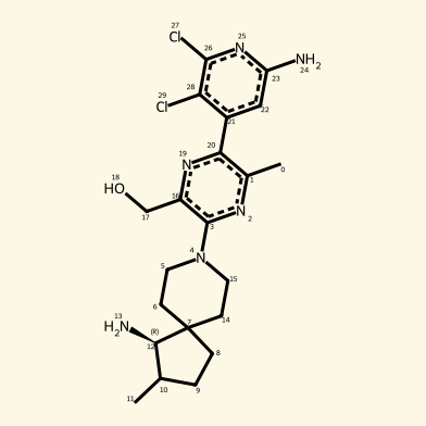 Cc1nc(N2CCC3(CCC(C)[C@H]3N)CC2)c(CO)nc1-c1cc(N)nc(Cl)c1Cl